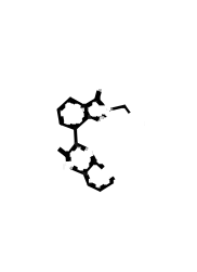 O=c1[nH]c2ccccc2nc1-c1cccc2c(=O)n(CC(F)(F)F)sc12